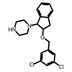 Clc1cc(Cl)cc(COC2Cc3ccccc3C2N2CCNCC2)c1